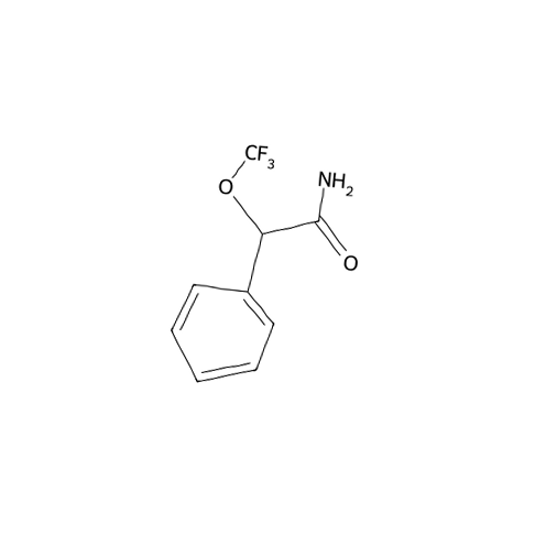 NC(=O)C(OC(F)(F)F)c1ccccc1